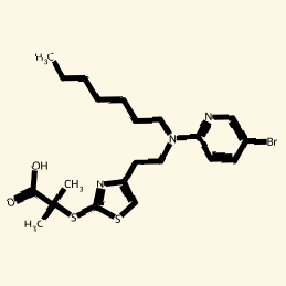 CCCCCCCN(CCc1csc(SC(C)(C)C(=O)O)n1)c1ccc(Br)cn1